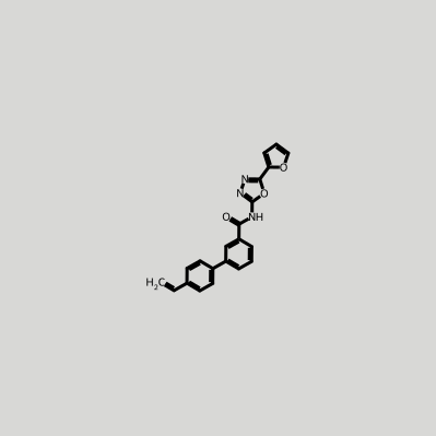 C=Cc1ccc(-c2cccc(C(=O)Nc3nnc(-c4ccco4)o3)c2)cc1